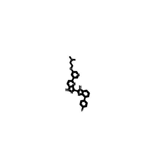 CN(C)CCOc1cncc(-c2ccc3[nH]nc(-c4nc5c(-c6ccc(F)cc6)cccc5[nH]4)c3n2)c1